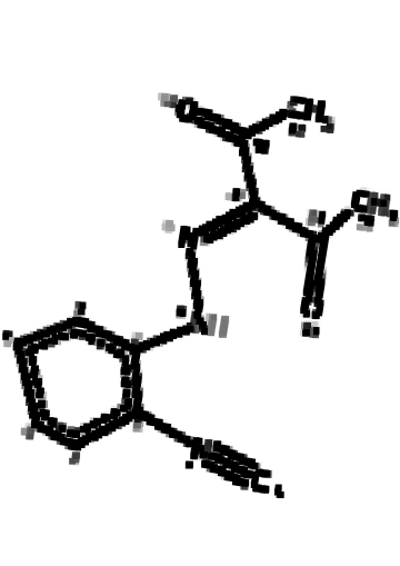 [C-]#[N+]c1ccccc1NN=C(C(C)=O)C(C)=O